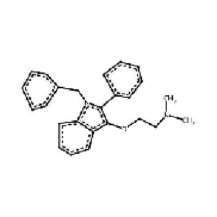 CN(C)CCOc1c(-c2ccccc2)n(Cc2ccccc2)c2ccccc12